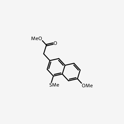 COC(=O)Cc1cc(SC)c2cc(OC)ccc2c1